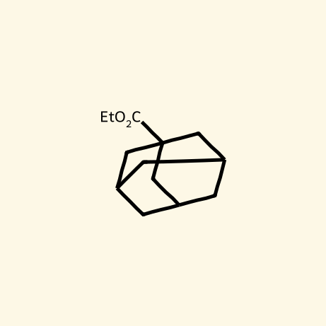 CCOC(=O)C12CC3CC(CC(C3)C1)C2